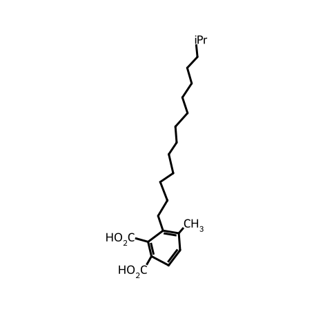 Cc1ccc(C(=O)O)c(C(=O)O)c1CCCCCCCCCCCCC(C)C